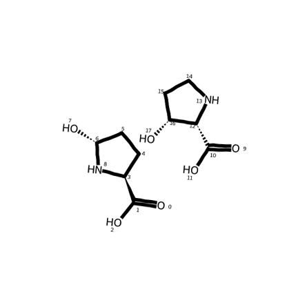 O=C(O)[C@@H]1CC[C@@H](O)N1.O=C(O)[C@H]1NCC[C@H]1O